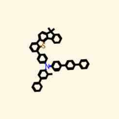 CC1C=C(C2=CC=CCC2)C=CC1N(c1c#cc(-c2ccc(-c3ccccc3)cc2)cc1)c1ccc(-c2cccc3c2sc2c4c(ccc23)C(C)(C)C2=C4CCC=C2)cc1